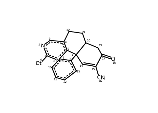 CCc1ncc2c(n1)C1(c3ccccc3)C=C(C#N)C(=O)CC1CC2